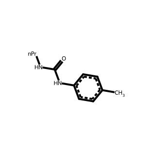 CCCNC(=O)Nc1ccc(C)cc1